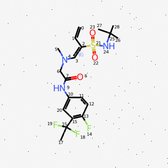 C=C/C(=C\N(C)CC(=O)Nc1ccc(F)c(C(C)(F)F)c1)S(=O)(=O)NC(C)(C)C